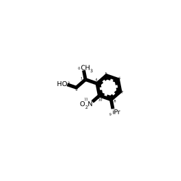 C[C](CO)c1cccc(C(C)C)c1[N+](=O)[O-]